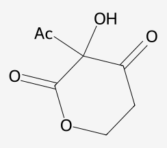 CC(=O)C1(O)C(=O)CCOC1=O